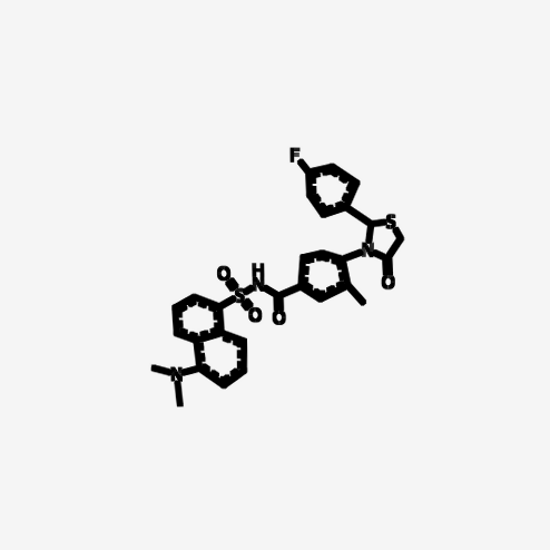 Cc1cc(C(=O)NS(=O)(=O)c2cccc3c(N(C)C)cccc23)ccc1N1C(=O)CSC1c1ccc(F)cc1